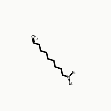 C=CCCCCCCCCN(CC)CC